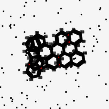 C1=CC2=CC=CC(c3ccccc3N(c3cccc4oc5ccccc5c34)c3cccc4c5ccccc5n(-c5ccccc5)c34)C2C(c2ccccc2)=C1